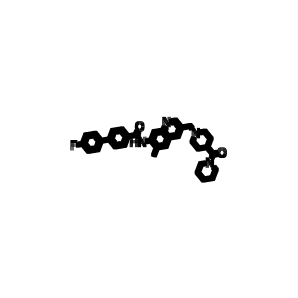 Cc1cc2cc(CN3CCC(C(=O)N4CCCCC4)CC3)cnc2cc1NC(=O)c1ccc(-c2ccc(F)cc2)cc1